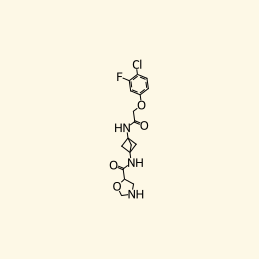 O=C(COc1ccc(Cl)c(F)c1)NC12CC(NC(=O)C3CNCO3)(C1)C2